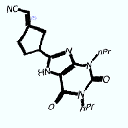 CCCn1c(=O)c2[nH]c(C3CC/C(=C\C#N)C3)nc2n(CCC)c1=O